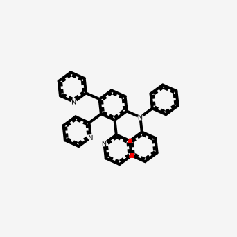 c1ccc(N(c2ccccc2)c2ccc(-c3ccccn3)c(-c3ccccn3)c2-c2ccccn2)cc1